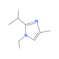 CCn1cc(C)nc1C(C)C